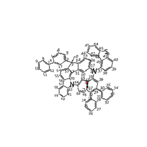 CC1(c2cccc(-c3ccccc3)c2)c2ccc(N(c3ccc(-c4ccccc4)c(-c4ccccc4)c3)c3cccc4sc5ccccc5c34)cc2-c2c1ccc1c3ccccc3n(-c3ccccc3)c21